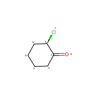 O=C1CCCC[C@H]1Cl